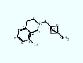 NC12CC(CN3CCc4cccc(F)c4C3)(C1)C2